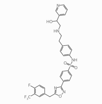 O=S(=O)(Nc1ccc(CCNCC(O)c2cccnc2)cc1)c1ccc(-c2noc(Cc3ccc(F)c(C(F)(F)F)c3)n2)cc1